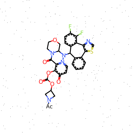 CC(=O)N1CC(OC(=O)Oc2c3n(ccc2=O)N(C2c4ccccc4-c4scnc4-c4c2ccc(F)c4F)C2COCCN2C3=O)C1